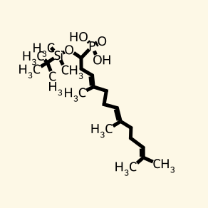 CC(C)=CCC/C(C)=C/CC/C(C)=C/CC(O[Si](C)(C)C(C)(C)C)P(=O)(O)O